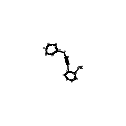 [C-]#[N+]c1ccccc1C#CCc1ccccc1